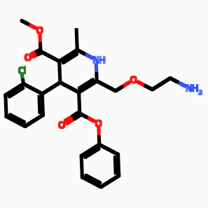 COC(=O)C1=C(C)NC(COCCN)=C(C(=O)Oc2ccccc2)C1c1ccccc1Cl